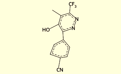 Cc1c(C(F)(F)F)nnc(-c2ccc(C#N)cc2)c1O